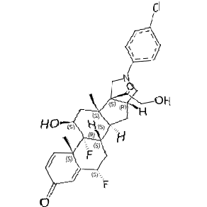 C[C@]12C=CC(=O)C=C1[C@@H](F)C[C@H]1[C@@H]3C[C@H]4CN(c5ccc(Cl)cc5)C[C@@]4(C(=O)CO)[C@@]3(C)C[C@H](O)[C@@]12F